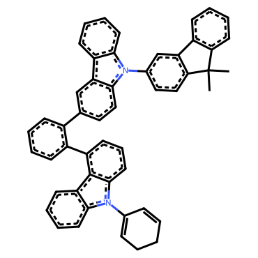 CC1(C)c2ccccc2-c2cc(-n3c4ccccc4c4cc(-c5ccccc5-c5cccc6c5c5ccccc5n6C5=CCCC=C5)ccc43)ccc21